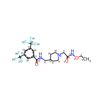 CCONC(=O)CN1CCC(CNC(=O)c2cc(C(F)(F)F)cc(C(F)(F)F)c2)CC1